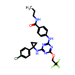 CCCNC(=O)c1ccc(Nc2nc(NC3(c4ccc(Cl)cc4)CC3)nc(OCC(F)(F)F)n2)cc1